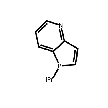 CC(C)p1ccc2ncccc21